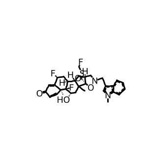 Cn1cc(CN2C[C@@H]3C[C@H]4[C@@H]5C[C@H](F)C6=CC(=O)C=C[C@]6(C)[C@@]5(F)[C@@H](O)CC4(C)[C@]3(C(=O)SCF)O2)c2ccccc21